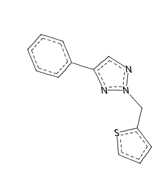 c1ccc(-c2cnn(Cc3cccs3)n2)cc1